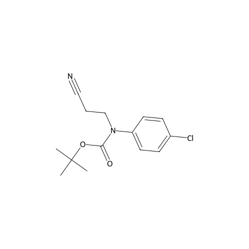 CC(C)(C)OC(=O)N(CCC#N)c1ccc(Cl)cc1